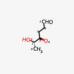 C[C@H](O)C(=O)CCC=O